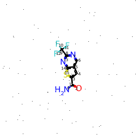 NC(=O)c1cc2cnc(C(F)(F)F)nc2s1